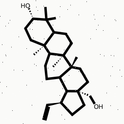 C=C[C@@H]1CC[C@]2(CO)CC[C@]3(C)C(CCC4[C@@]5(C)CC[C@H](O)C(C)(C)C5CC[C@]43C)C12